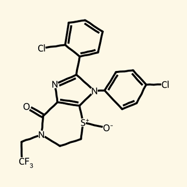 O=C1c2nc(-c3ccccc3Cl)n(-c3ccc(Cl)cc3)c2[S+]([O-])CCN1CC(F)(F)F